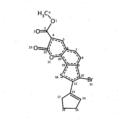 COC(=O)c1cc2ccc3c(Br)c(C4=CCCC4)sc3c2oc1=O